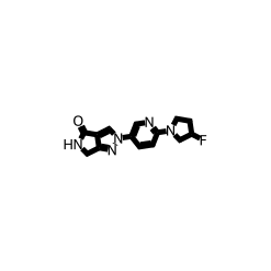 O=C1NCc2nn(-c3ccc(N4CCC(F)C4)nc3)cc21